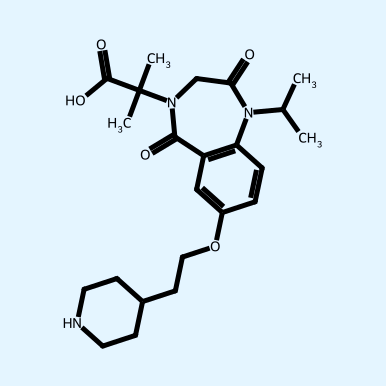 CC(C)N1C(=O)CN(C(C)(C)C(=O)O)C(=O)c2cc(OCCC3CCNCC3)ccc21